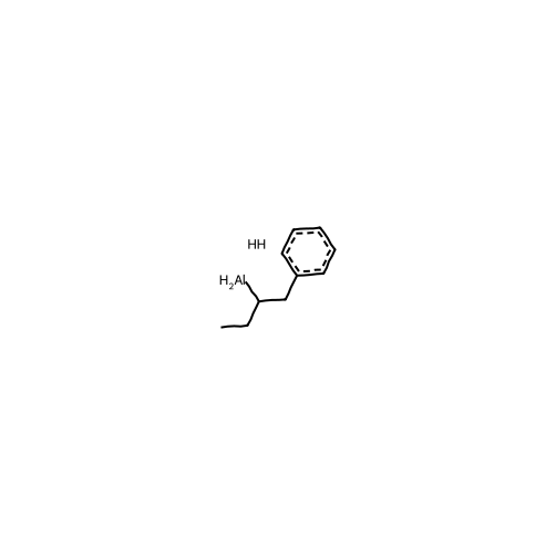 CC[CH]([AlH2])Cc1ccccc1.[HH]